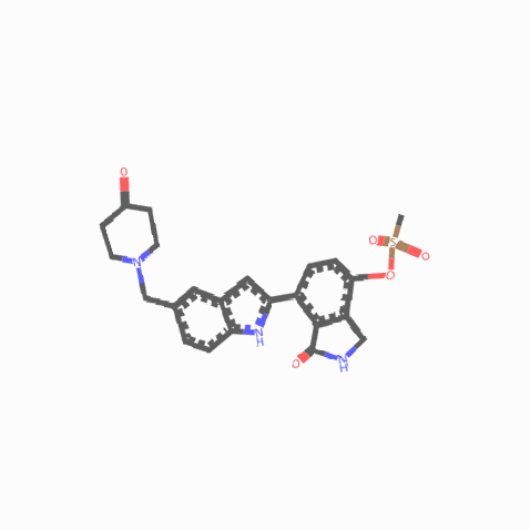 CS(=O)(=O)Oc1ccc(-c2cc3cc(CN4CCC(=O)CC4)ccc3[nH]2)c2c1CNC2=O